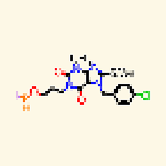 CSc1nc2c(c(=O)n(CCCOPI)c(=O)n2C)n1Cc1ccc(Cl)cc1